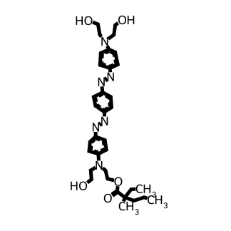 CCCC(C)(CC)C(=O)OCCN(CCO)c1ccc(/N=N/c2ccc(/N=N/c3ccc(N(CCO)CCO)cc3)cc2)cc1